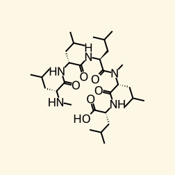 CN[C@H](CC(C)C)C(=O)N[C@H](CC(C)C)C(=O)N[C@@H](CC(C)C)C(=O)N(C)[C@H](CC(C)C)C(=O)N[C@H](CC(C)C)C(=O)O